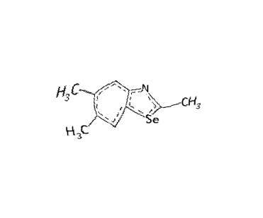 Cc1nc2cc(C)c(C)cc2[se]1